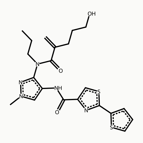 C=C(CCCO)C(=O)N(CCC)c1nn(C)cc1NC(=O)c1csc(-c2cccs2)n1